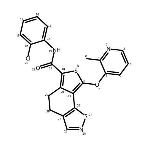 Cc1ncccc1Oc1sc(C(=O)Nc2ccccc2Cl)c2c1-c1sncc1CC2